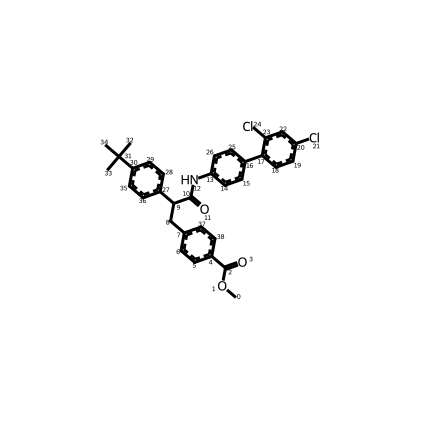 COC(=O)c1ccc(CC(C(=O)Nc2ccc(-c3ccc(Cl)cc3Cl)cc2)c2ccc(C(C)(C)C)cc2)cc1